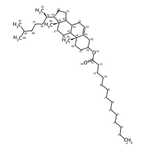 CCCCCCCCCCCCCC(=O)OC1CC[C@@]2(C)C(=CCC3C2CC[C@@]2(C)C3CC[C@@H]2[C@H](C)CCCC(C)C)C1